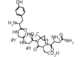 CC(C)[C@H](NC(=O)[C@@H](N)Cc1ccc(O)cc1)C(=O)N[C@H](C(=O)N(C(=O)[C@H](CC(=O)O)NC(=O)[C@@H](N)CC(N)=O)C1(C(=O)O)CC1)C(C)C